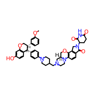 COc1cccc([C@H]2COc3cc(O)ccc3[C@H]2c2ccc(N3CCC(CN4CCN5c6ccc7c(c6OC[C@@H]5C4)CN(C4CCC(=O)NC4=O)C7=O)CC3)cc2)c1